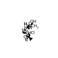 CC(C)(CO)n1cc(Nc2nccc(N3CC[C@@](C#N)(C4CC4)C3=O)n2)cn1.Cl